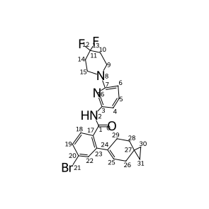 O=C(Nc1cccc(N2CCC(F)(F)CC2)n1)c1ccc(Br)cc1C1=CCC2(CC1)CC2